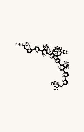 CCCCC(CC)Cc1ccc(-c2ccc(-c3cnc(-c4cc5c(s4)-c4sc(-c6ncc(-c7ccc(-c8ccc(CC(CC)CCCC)s8)s7)c7nsnc67)cc4[Si]5(CC(CC)CCCC)CC(CC)CCCC)c4nsnc34)s2)s1